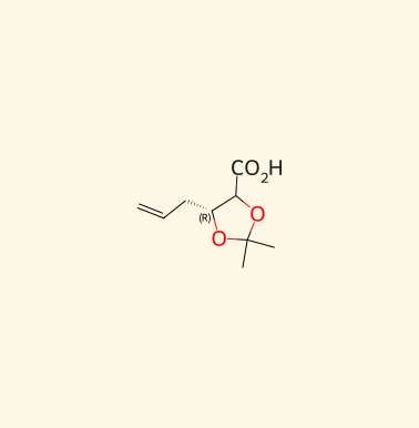 C=CC[C@H]1OC(C)(C)OC1C(=O)O